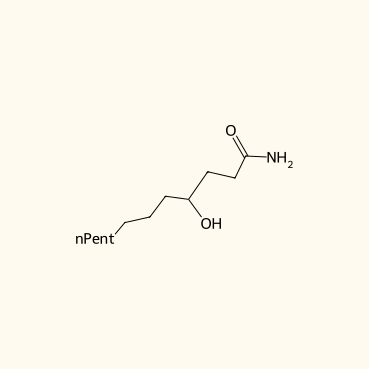 CCCCCCCCC(O)CCC(N)=O